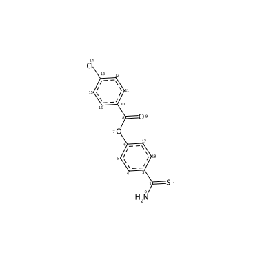 NC(=S)c1ccc(OC(=O)c2ccc(Cl)cc2)cc1